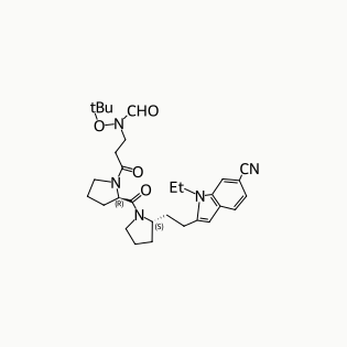 CCn1c(CC[C@@H]2CCCN2C(=O)[C@H]2CCCN2C(=O)CCN(C=O)OC(C)(C)C)cc2ccc(C#N)cc21